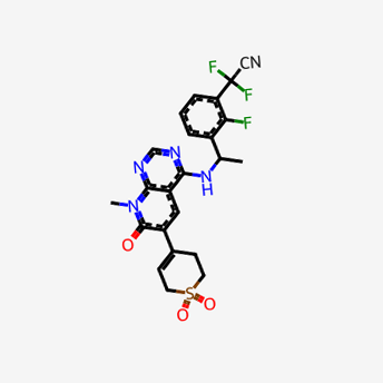 CC(Nc1ncnc2c1cc(C1=CCS(=O)(=O)CC1)c(=O)n2C)c1cccc(C(F)(F)C#N)c1F